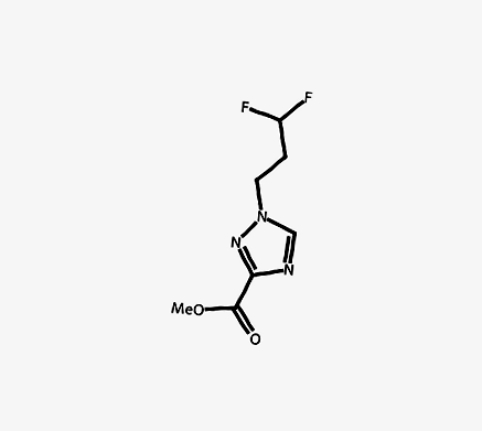 COC(=O)c1ncn(CCC(F)F)n1